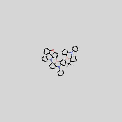 CC1(C)c2cc3c(cc2B2c4ccccc4N(c4ccccc4)c4cccc1c42)B1c2ccc4oc5ccccc5c4c2N(c2ccccc2)c2cccc(c21)N3c1ccccc1